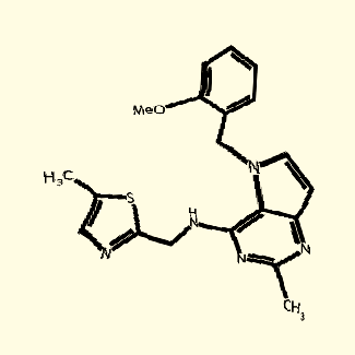 COc1ccccc1Cn1ccc2nc(C)nc(NCc3ncc(C)s3)c21